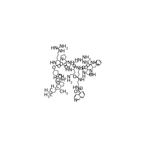 CC(C)CC[C@H](C)[C@@H]1CC[C@@H]2[C@H]3CC=C4C[C@H](OC(=O)NC(CCCNC(=N)N)C(=O)N5CCCC5C(=O)NC(CCCNC(=N)N)C(=O)NC(CCCN)C(=O)NC(CCC(=O)NCCNS(=O)(=O)c5cccc6cnccc56)C(=O)NC(CO)C(=O)NC(Cc5ccccc5)C(N)=O)CC[C@@]4(C)[C@@H]3CC[C@]21C